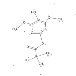 COc1cc(OC(=O)C(C)(C)C)cc(OC)c1O